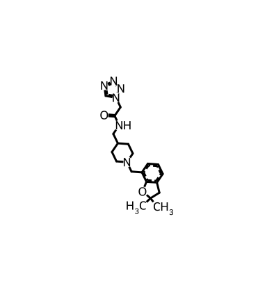 CC1(C)Cc2cccc(CN3CCC(CNC(=O)Cn4cnnn4)CC3)c2O1